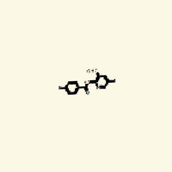 O=Cc1cc(I)cnc1NC(=O)c1ccc(I)cc1